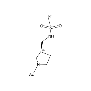 CC(=O)N1CC[C@H](CNS(=O)(=O)C(C)C)C1